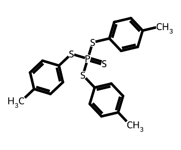 Cc1ccc(SP(=S)(Sc2ccc(C)cc2)Sc2ccc(C)cc2)cc1